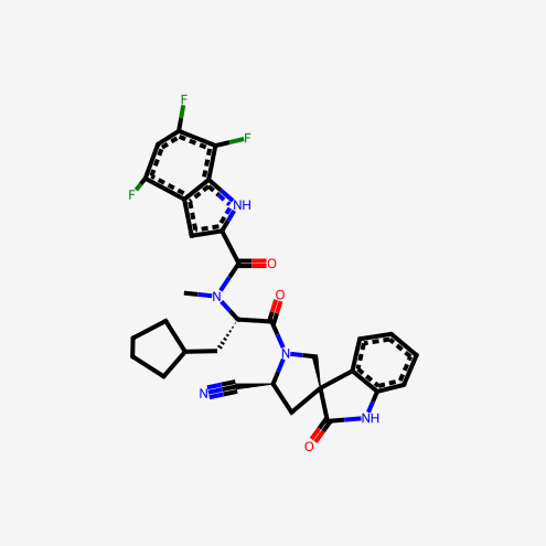 CN(C(=O)c1cc2c(F)cc(F)c(F)c2[nH]1)[C@@H](CC1CCCC1)C(=O)N1C[C@]2(C[C@H]1C#N)C(=O)Nc1ccccc12